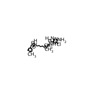 Cc1ccc(CS(=O)(=O)NCCCCC[N+](C)(C)CCNC(=O)c2nc(Cl)c(N)nc2N)cc1